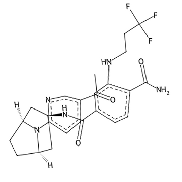 CC(=O)c1ccc(N2[C@@H]3CC[C@H]2C[C@@H](NC(=O)c2ccc(C(N)=O)c(NCCC(F)(F)F)c2)C3)nc1